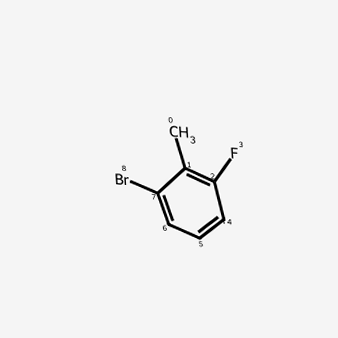 Cc1c(F)[c]ccc1Br